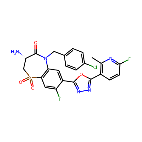 Cc1nc(F)ccc1-c1nnc(-c2cc3c(cc2F)S(=O)(=O)C[C@H](N)C(=O)N3Cc2ccc(Cl)cc2)o1